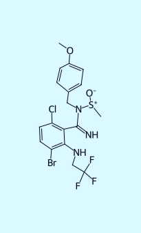 COc1ccc(CN(C(=N)c2c(Cl)ccc(Br)c2NCC(F)(F)F)[S+](C)[O-])cc1